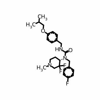 CC(C)COc1ccc(CNC(=O)N(Cc2ccc(F)cc2)[C@H]2CCN(C)CC2(F)F)cc1